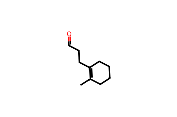 CC1=C(CCC=O)CCCC1